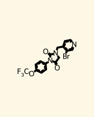 O=C1CN(Cc2ccncc2Br)C(=O)N1c1ccc(OC(F)(F)F)cc1